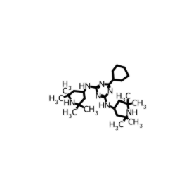 CC1(C)CC(Nc2nc(NC3CC(C)(C)NC(C)(C)C3)nc(C3CCCCC3)n2)CC(C)(C)N1